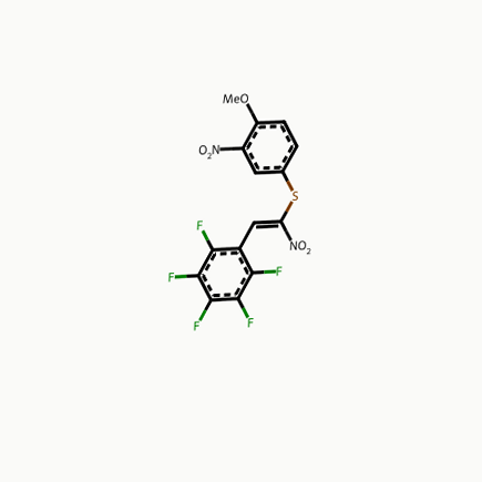 COc1ccc(SC(=Cc2c(F)c(F)c(F)c(F)c2F)[N+](=O)[O-])cc1[N+](=O)[O-]